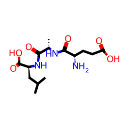 CC(C)C[C@H](NC(=O)[C@H](C)NC(=O)[C@@H](N)CCC(=O)O)C(=O)O